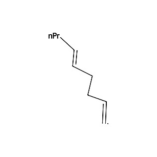 [CH]=CCCC=CCCC